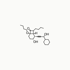 CCCCO[C@]12CC[C@@H](O)[C@H](C#C[C@@H](O)C3CCCCC3)[C@H]1C(CCCC)C2=O